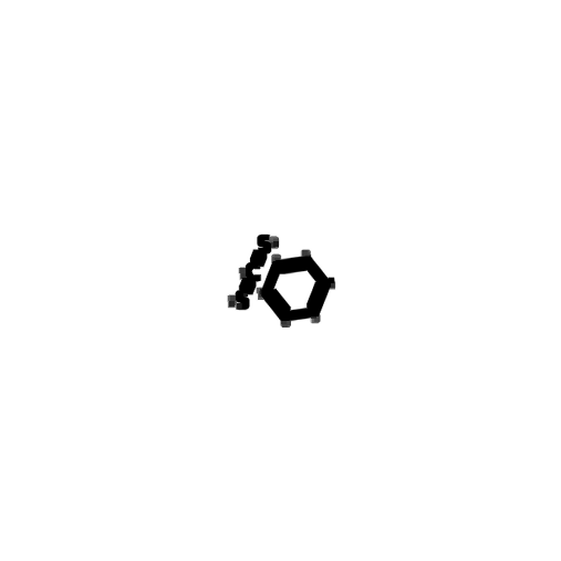 S=C=S.c1ccccc1